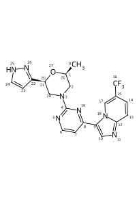 C[C@H]1CN(c2nccc(-c3cnc4ccc(C(F)(F)F)cn34)n2)C[C@@H](c2cc[nH]n2)O1